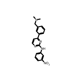 CN(C)Cc1cccc(-c2ccnc(Nc3cccc([N+](=O)[O-])c3)n2)c1